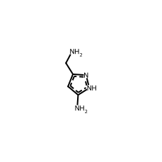 NCc1cc(N)[nH]n1